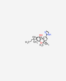 CCCC(C)(C)c1cc(O)c2c(c1)OC(C)(C)[C@@H]1CC=C(c3ncc[nH]3)C[C@@H]21